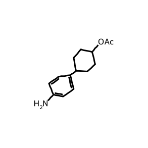 CC(=O)OC1CCC(c2ccc(N)cc2)CC1